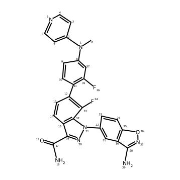 CN(c1ccncc1)c1ccc(-c2ccc3c(C(N)=O)nn(-c4ccc5onc(N)c5c4)c3c2F)c(F)c1